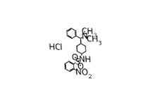 CN(C)C(c1ccccc1)C1CCC(NS(=O)(=O)c2ccccc2[N+](=O)[O-])CC1.Cl